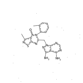 Bc1nn(Cc2nc3snc(C)c3c(=O)n2-c2ccccc2C)c2ncnc(N)c12